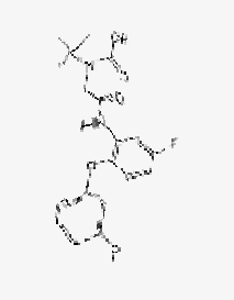 COc1cccc(Oc2ccc(F)cc2NC(=O)CN(C(=O)O)C(C)(C)C)c1